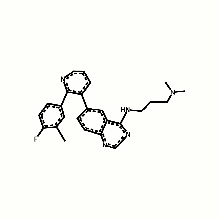 Cc1cc(-c2ncccc2-c2ccc3ncnc(NCCCN(C)C)c3c2)ccc1F